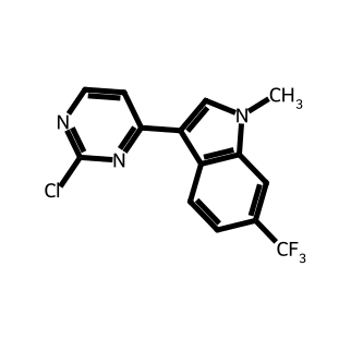 Cn1cc(-c2ccnc(Cl)n2)c2ccc(C(F)(F)F)cc21